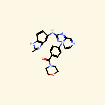 Cc1nc2cc(NC3=N[N+]4(c5ccc(C(=O)N6CCOCC6)cc5)C=CN=CC4=N3)ccc2[nH]1